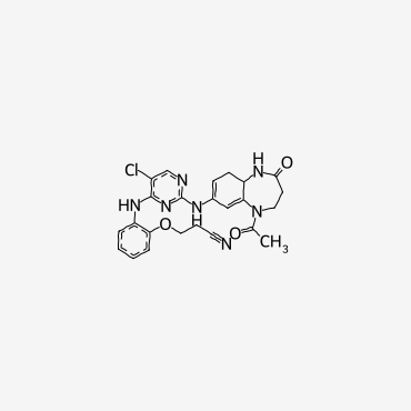 CC(=O)N1CCC(=O)NC2CC=C(Nc3ncc(Cl)c(Nc4ccccc4OCCC#N)n3)C=C21